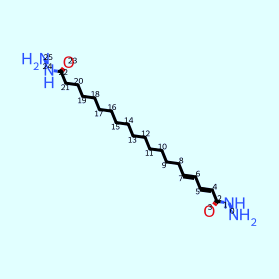 NNC(=O)C=CC=CCCCCCCCCCCCCCCC(=O)NN